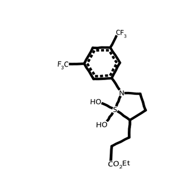 CCOC(=O)CCC1CCN(c2cc(C(F)(F)F)cc(C(F)(F)F)c2)S1(O)O